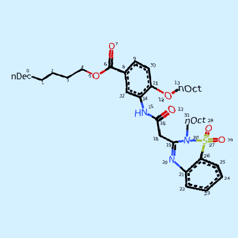 CCCCCCCCCCCCCCOC(=O)c1ccc(OCCCCCCCC)c(NC(=O)CC2=Nc3ccccc3S(=O)(=O)N2CCCCCCCC)c1